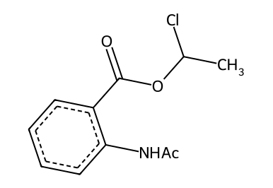 CC(=O)Nc1ccccc1C(=O)OC(C)Cl